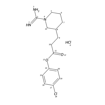 Cl.N=C(N)N1CCCC(CCC(=O)Oc2ccc(Cl)cc2)C1